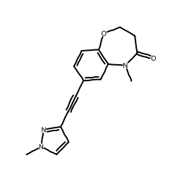 CN1C(=O)CCOc2ccc(C#Cc3ccn(C)n3)cc21